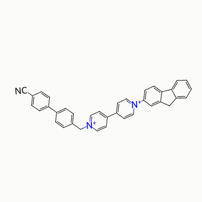 N#Cc1ccc(-c2ccc(C[n+]3ccc(-c4cc[n+](-c5ccc6c(c5)Cc5ccccc5-6)cc4)cc3)cc2)cc1